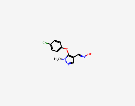 Cn1ncc(C=NO)c1Oc1ccc(Cl)cc1